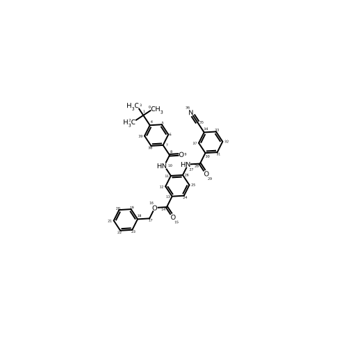 CC(C)(C)c1ccc(C(=O)Nc2cc(C(=O)OCc3ccccc3)ccc2NC(=O)c2cccc(C#N)c2)cc1